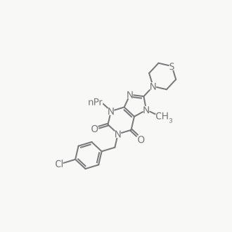 CCCn1c(=O)n(Cc2ccc(Cl)cc2)c(=O)c2c1nc(N1CCSCC1)n2C